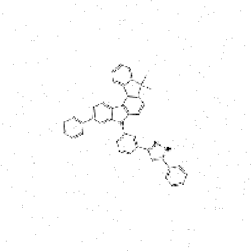 CC1(C)c2ccccc2-c2c1ccc1c2c2ccc(-c3ccccc3)cc2n1-c1cccc(-c2n[nH]c(-c3ccccc3)n2)c1